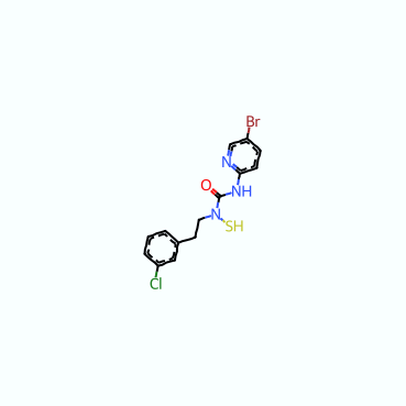 O=C(Nc1ccc(Br)cn1)N(S)CCc1cccc(Cl)c1